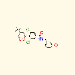 CC(=O)C(CC(=O)c1c(Cl)cc(C(=O)NCc2cccc(O)c2)cc1Cl)C(C)(C)C